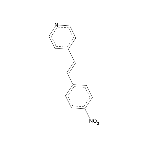 O=[N+]([O-])c1ccc(C=Cc2ccncc2)cc1